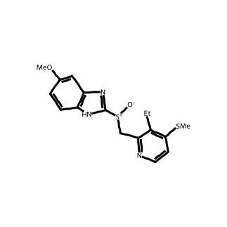 CCc1c(SC)ccnc1C[S+]([O-])c1nc2cc(OC)ccc2[nH]1